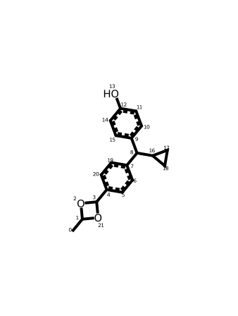 CC1OC(c2ccc(C(c3ccc(O)cc3)C3CC3)cc2)O1